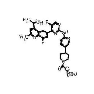 Cc1cc(C(C)O)c2cc(-c3nc(Nc4ccc(C5CCN(C(=O)OC(C)(C)C)CC5)cn4)ncc3F)cc(F)c2n1